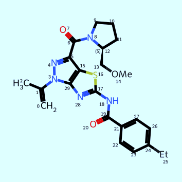 C=C(C)n1nc(C(=O)N2CCC[C@H]2COC)c2sc(NC(=O)c3ccc(CC)cc3)nc21